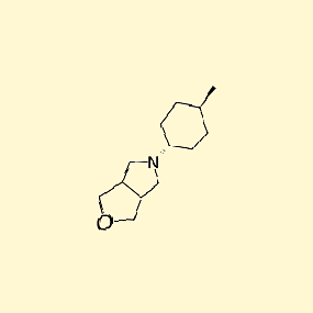 C[C@H]1CC[C@H](N2CC3COCC3C2)CC1